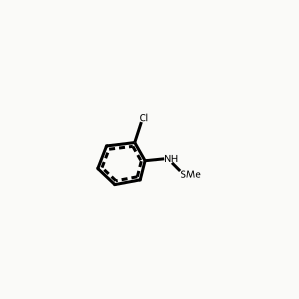 CSNc1ccccc1Cl